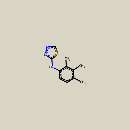 Cc1ccc(Nc2nncs2)c(C)c1C